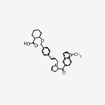 Cn1ccc2cc(C(=O)C3CC=CN3C/C=C/c3ccc(COC4CCCCC4C(=O)O)cc3)ccc21